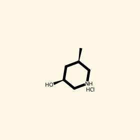 C[C@H]1CNC[C@@H](O)C1.Cl